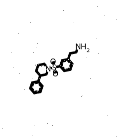 NCCc1cccc(S(=O)(=O)N2C[CH]CC(c3ccccc3)C2)c1